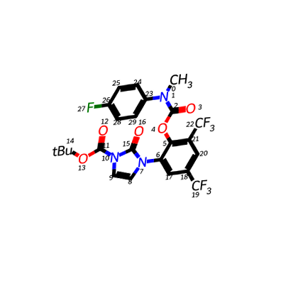 CN(C(=O)Oc1c(-n2ccn(C(=O)OC(C)(C)C)c2=O)cc(C(F)(F)F)cc1C(F)(F)F)c1ccc(F)cc1